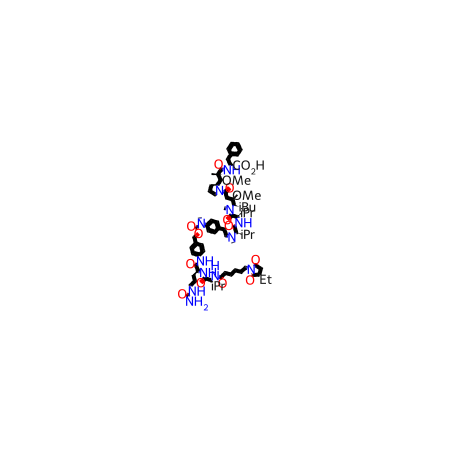 CCC1CC(=O)N(CCCCCC(=O)N[C@H](C(=O)N[C@@H](CCCNC(N)=O)C(=O)Nc2ccc(COC(=O)N(C)c3ccc(CCN(C)[C@H](C(=O)N[C@H](C(=O)N(C)[C@@H]([C@@H](C)CC)[C@@H](CC(=O)N4CCC[C@H]4[C@H](OC)[C@@H](C)C(=O)N[C@@H](Cc4ccccc4)C(=O)O)OC)C(C)C)C(C)C)cc3)cc2)C(C)C)C1=O